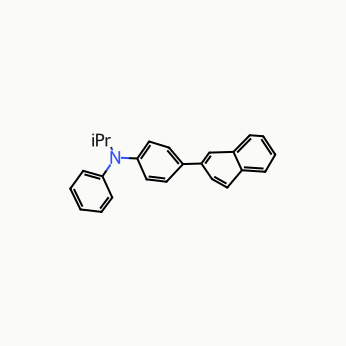 CC(C)N(c1ccccc1)c1ccc(-c2ccc3ccccc3c2)cc1